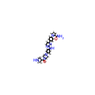 NC(=O)[C@H]1CCCN1c1ccc(-c2ccnc(Nc3ccc(N4CCN(C(=O)C5CCNCC5)CC4)cc3)n2)cc1